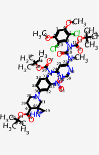 COc1cc(OC)c(Cl)c(N(C(=O)OC(C)(C)C)C(=O)N(C)c2cc(N(C(=O)OC(C)(C)C)c3ccc(N4CCC(C(=O)OC(C)(C)C)C5(CN5)C4)cc3[N+](=O)[O-])ncn2)c1Cl